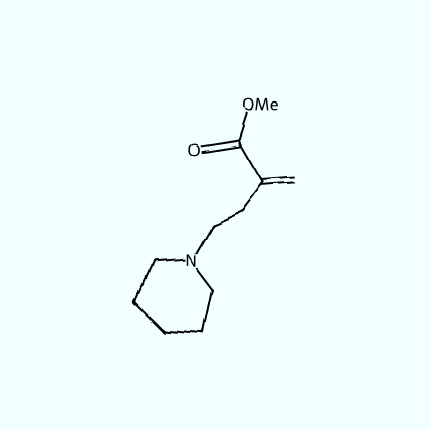 C=C(CCN1CCCCC1)C(=O)OC